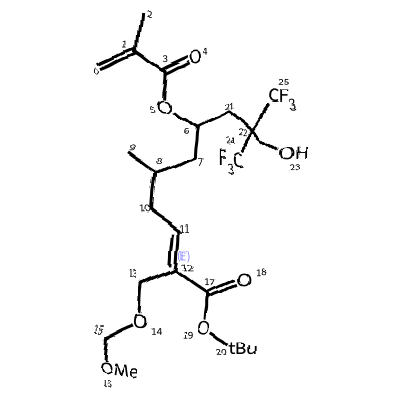 C=C(C)C(=O)OC(CC(C)C/C=C(\COCOC)C(=O)OC(C)(C)C)CC(O)(C(F)(F)F)C(F)(F)F